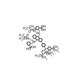 C=C(C)C(=O)NCCCN(Cc1ccccc1B(O)O)Cc1c2ccccc2c(CN(CCCNC(=O)C(=C)C)Cc2ccccc2B(O)O)c2cc(-c3ccc(C4=C5C=CC(=[N+](C)C)C=C5[Si](C)(C)c5cc(N(C)C)ccc54)cc3)ccc12